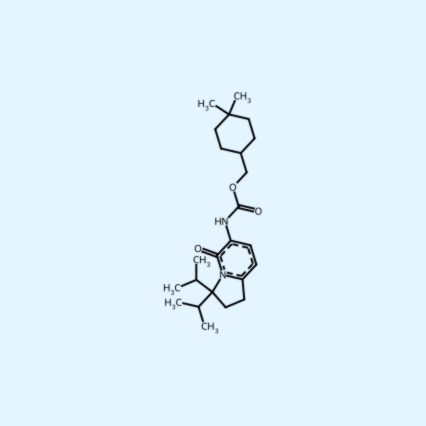 CC(C)C1(C(C)C)CCc2ccc(NC(=O)OCC3CCC(C)(C)CC3)c(=O)n21